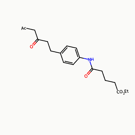 CCOC(=O)CCCC(=O)Nc1ccc(CCC(=O)CC(C)=O)cc1